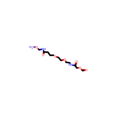 NOCNC(=O)CCCOCCOCCNC(=O)COC=O